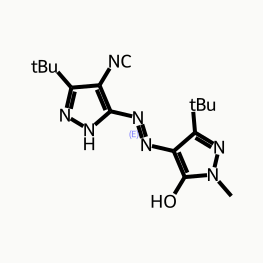 [C-]#[N+]c1c(C(C)(C)C)n[nH]c1/N=N/c1c(C(C)(C)C)nn(C)c1O